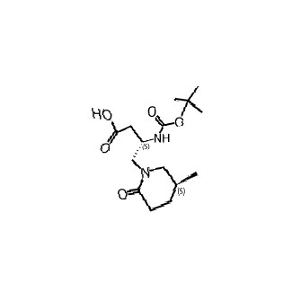 C[C@H]1CCC(=O)N(C[C@H](CC(=O)O)NC(=O)OC(C)(C)C)C1